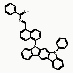 N=C(/N=C/c1cccc2c(-n3c4ccccc4c4cc5c6ccccc6n(-c6ccccc6)c5cc43)cccc12)c1ccccc1